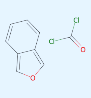 O=C(Cl)Cl.c1ccc2cocc2c1